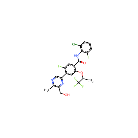 Cc1ncc(-c2cc(O[C@@H](C)C(F)(F)F)c(C(=O)Nc3c(F)cccc3Cl)cc2F)nc1CO